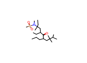 CCCC(CC(C)(C)C(C)C)C(=O)C(CC)CC(C)(CC)N(C)S(C)(=O)=O